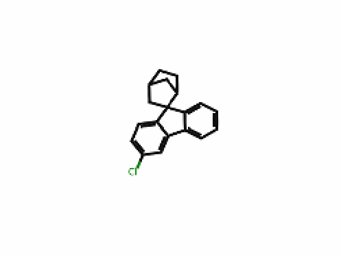 Clc1ccc2c(c1)-c1ccccc1C21CC2CCC1C2